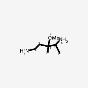 COC(C)(CCN)C(C)N